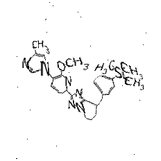 COc1nc(-c2nc3n(n2)CCCC3c2ccc([Si](C)(C)C)cc2)ccc1-n1cnc(C)c1